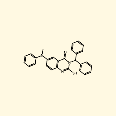 CN(c1ccccc1)c1ccc2nc(S)n(C(c3ccccc3)c3ccccc3)c(=O)c2c1